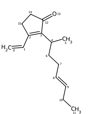 C=CC1=C(C(C)CCC=CCC)C(=O)CC1